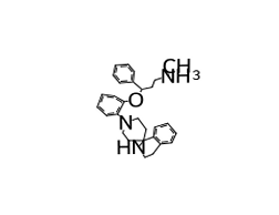 CNCCC(Oc1ccccc1N1CCC2(CC1)NCCc1ccccc12)c1ccccc1